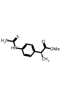 COC(=O)[C@@H](C)c1ccc(NC(N)=S)cc1